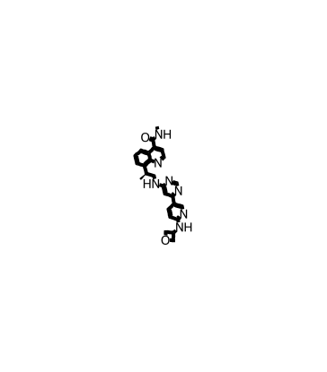 CNC(=O)c1ccnc2c([C@H](C)CNc3cc(-c4ccc(NC5COC5)nc4)ncn3)cccc12